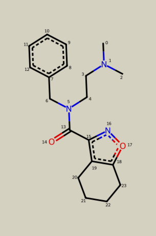 CN(C)CCN(Cc1ccccc1)C(=O)c1noc2c1CCCC2